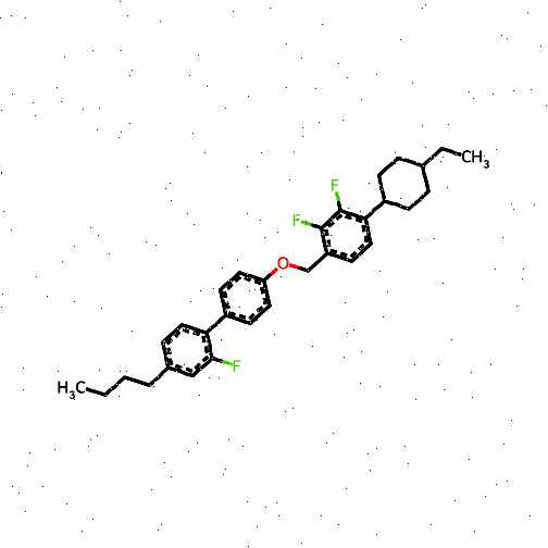 CCCCc1ccc(-c2ccc(OCc3ccc(C4CCC(CC)CC4)c(F)c3F)cc2)c(F)c1